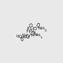 NC(=O)c1cccc(-c2ccccc2C(Oc2cc(-c3ccc(C[C@H](N)C(=O)O)cc3)nc(N)n2)C(F)(F)F)c1